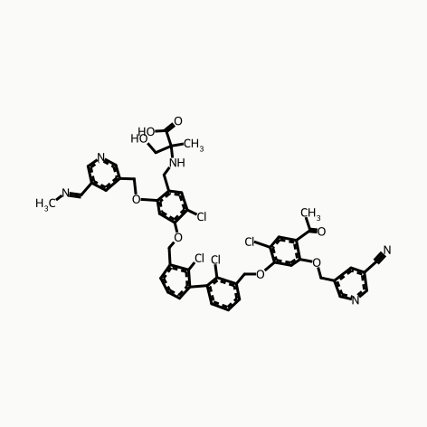 C/N=C/c1cncc(COc2cc(OCc3cccc(-c4cccc(COc5cc(OCc6cncc(C#N)c6)c(C(C)=O)cc5Cl)c4Cl)c3Cl)c(Cl)cc2CNC(C)(CO)C(=O)O)c1